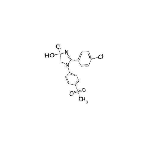 CS(=O)(=O)c1ccc(N2CC(O)(Cl)N=C2c2ccc(Cl)cc2)cc1